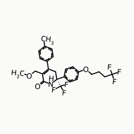 COCC1=C(c2ccc(C)cc2)C[C@](c2ccc(OCCCC(F)(F)F)cc2)(C(F)(F)F)NC1=O